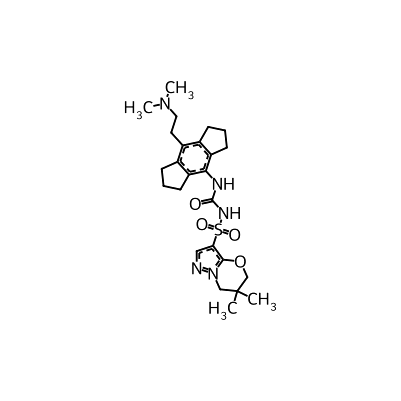 CN(C)CCc1c2c(c(NC(=O)NS(=O)(=O)c3cnn4c3OCC(C)(C)C4)c3c1CCC3)CCC2